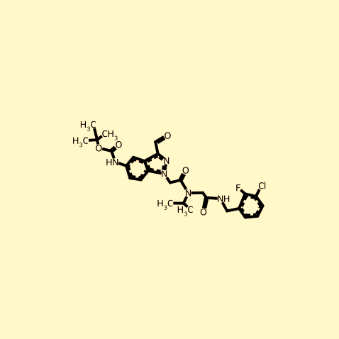 CC(C)N(CC(=O)NCc1cccc(Cl)c1F)C(=O)Cn1nc(C=O)c2cc(NC(=O)OC(C)(C)C)ccc21